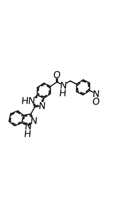 O=Nc1ccc(CNC(=O)c2ccc3[nH]c(-c4n[nH]c5ccccc45)nc3c2)cc1